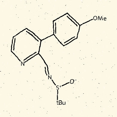 COc1ccc(-c2cccnc2C=N[S+]([O-])C(C)(C)C)cc1